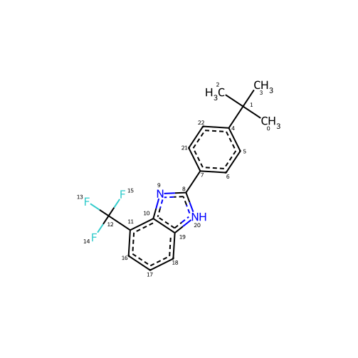 CC(C)(C)c1ccc(-c2nc3c(C(F)(F)F)cccc3[nH]2)cc1